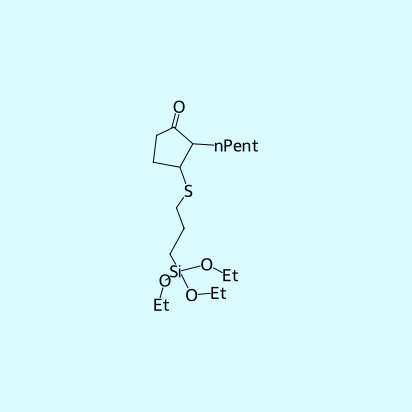 CCCCCC1C(=O)CCC1SCCC[Si](OCC)(OCC)OCC